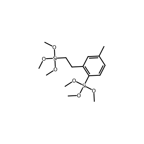 CO[Si](CCc1cc(C)ccc1[Si](OC)(OC)OC)(OC)OC